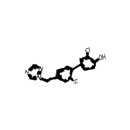 [C-]#[N+]c1cc(Cn2cncn2)ccc1-c1ccc(O)c(Cl)c1